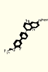 CCCCCC1CC[C@@H]2C[C@H](c3ccc(-c4ccc(OCC(F)(F)F)c(F)c4)cc3)CC[C@@H]2C1